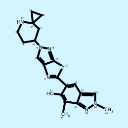 Cc1c(O)c(-c2nc3cn(C4CCNC5(CC5)C4)nc3s2)cc2cn(C)nc12